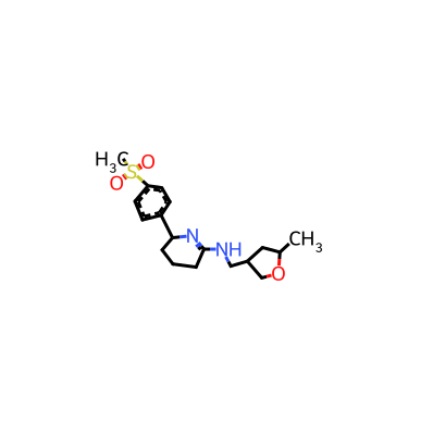 CC1CC(CNC2=NC(c3ccc(S(C)(=O)=O)cc3)CCC2)CO1